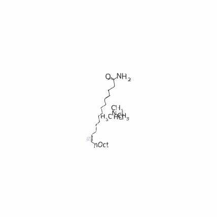 CCCCCCCC/C=C\CCCCCCCCCCCC(N)=O.CN(C)C.Cl